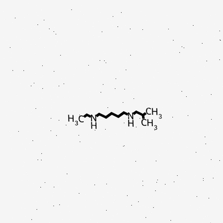 CCNCCCCCNCC(C)C